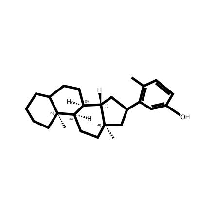 Cc1ccc(O)cc1C1C[C@H]2[C@@H]3CCC4CCCC[C@]4(C)[C@@H]3CC[C@]2(C)C1